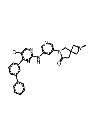 CN1CC2(CC(=O)N(c3cncc(Nc4ncc(Cl)c(-c5cccc(-c6ccccc6)c5)n4)c3)C2)C1